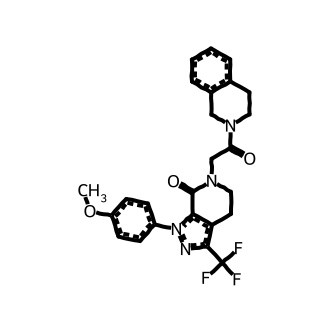 COc1ccc(-n2nc(C(F)(F)F)c3c2C(=O)N(CC(=O)N2CCc4ccccc4C2)CC3)cc1